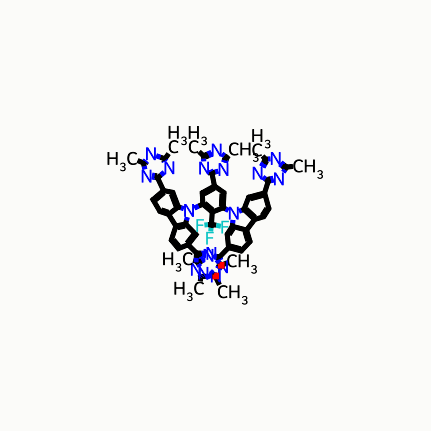 Cc1nc(C)nc(-c2cc(-n3c4cc(-c5nc(C)nc(C)n5)ccc4c4ccc(-c5nc(C)nc(C)n5)cc43)c(C(F)(F)F)c(-n3c4cc(-c5nc(C)nc(C)n5)ccc4c4ccc(-c5nc(C)nc(C)n5)cc43)c2)n1